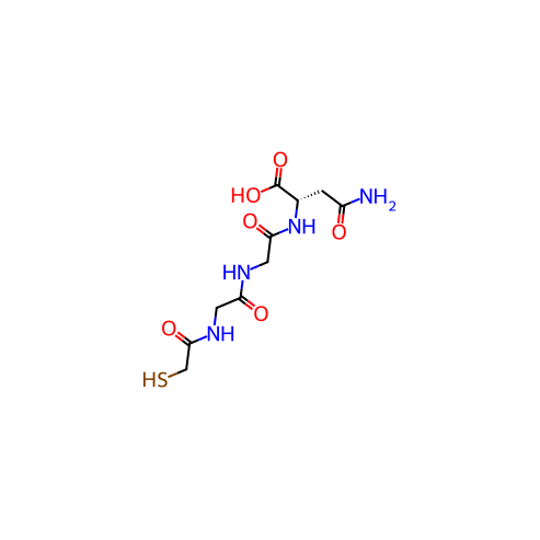 NC(=O)C[C@H](NC(=O)CNC(=O)CNC(=O)CS)C(=O)O